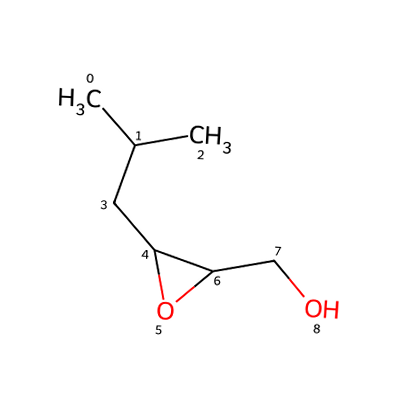 CC(C)CC1OC1CO